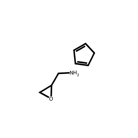 C1=CCC=C1.NCC1CO1